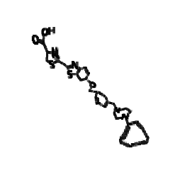 O=C(O)C1CSC(c2nc3c(s2)CC(OCc2cccc(CN4CCN(c5ccccc5)CC4)c2)C=C3)=N1